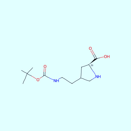 CC(C)(C)OC(=O)NCCC1CN[C@H](C(=O)O)C1